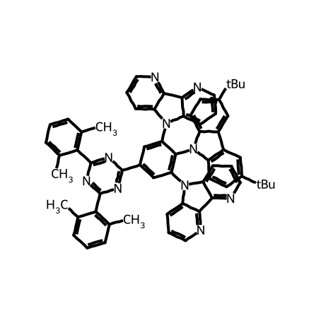 Cc1cccc(C)c1-c1nc(-c2cc(-n3c4cccnc4c4ncccc43)c(-n3c4ccc(C(C)(C)C)cc4c4cc(C(C)(C)C)ccc43)c(-n3c4cccnc4c4ncccc43)c2)nc(-c2c(C)cccc2C)n1